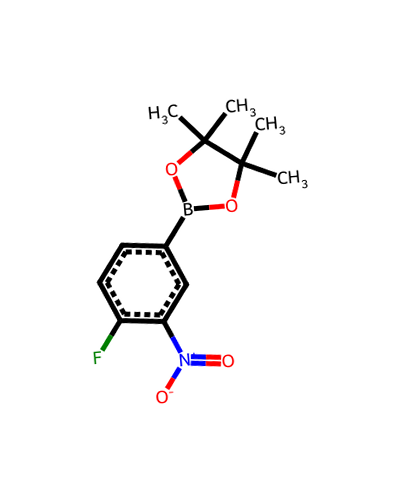 CC1(C)OB(c2ccc(F)c([N+](=O)[O-])c2)OC1(C)C